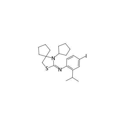 CC(C)c1cc(I)ccc1/N=C1/SCC2(CCCC2)N1C1CCCC1